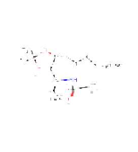 CCCCCCCCCCCCCC[C@H]1OC(C)(C)O[C@H]1[C@H](COC)NC(=O)C(F)(F)F